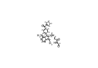 Cn1c([C@H]2C[C@@H]2C=CC(=O)NC=O)c(-c2ccc(C(=O)N3CCCC3)cc2)c2c(N)ncnc21